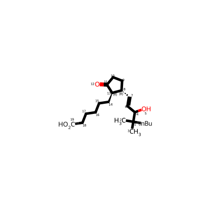 CCCCC(C)(C)C(O)C=C[C@H]1CCC(=O)[C@@H]1CCCCCC(=O)O